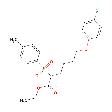 CCOC(=O)C(CCCCOc1ccc(Cl)cc1)S(=O)(=O)c1ccc(C)cc1